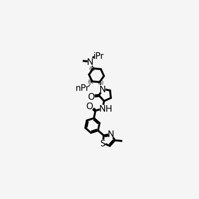 CCC[C@@H]1C[C@H](N(C)C(C)C)CC[C@@H]1N1CCC(NC(=O)c2cccc(-c3nc(C)cs3)c2)C1=O